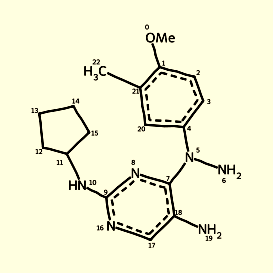 COc1ccc(N(N)c2nc(NC3CCCC3)ncc2N)cc1C